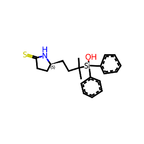 CC(C)(CC[C@H]1CCC(=S)N1)[Si](O)(c1ccccc1)c1ccccc1